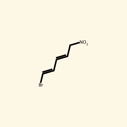 O=[N+]([O-])C/C=C/C=C/Br